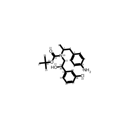 CC(Cc1ccc(N)cc1)N(C[C@H](O)c1cccc(Cl)c1)C(=O)OC(C)(C)C